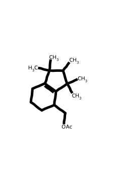 CC(=O)OCC1CCCC2=C1C(C)(C)C(C)C2(C)C